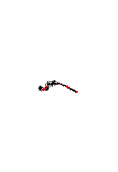 CCCCCCCCCCCCCCCCOCC(COP(=O)(O)Oc1cccc(C[n+]2csc(C)c2)c1)OC